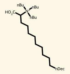 CCCCCCCCCCCCCCCCCCCC(C(=O)O)[N+](CCCC)(CCCC)CCCC